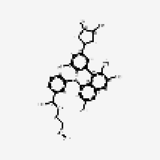 CCOCCOC(O)c1cccc(Oc2cc(C(C)(C)C)cc3cc(C#N)c(C#N)c(-c4cc(F)cc(C5CC(F)C(F)C5)c4)c23)c1